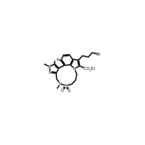 CCOC(=O)c1c(CCCBr)c2ccc(F)c3c2n1CCCS(=O)(=O)N(C)Cc1nn(C)c(C)c1-3